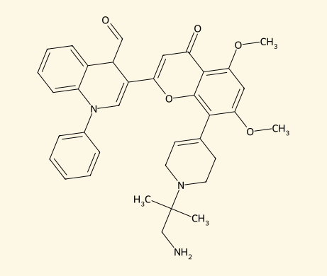 COc1cc(OC)c2c(=O)cc(C3=CN(c4ccccc4)c4ccccc4C3C=O)oc2c1C1=CCN(C(C)(C)CN)CC1